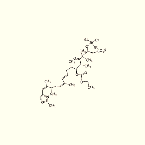 CC[Si](CC)(CC)O[C@@H](CC(=O)O)C(C)(C)C(=O)[C@H](C)[C@@H](OC(=O)OCC(Cl)(Cl)Cl)[C@@H](C)CC=CC(C)=CC[C@H](N)C(C)=Cc1csc(C)n1